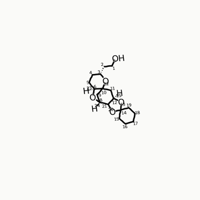 OCC[C@H]1CC[C@@H]2O[C@@H]3CC2(C[C@H]2OC4(CCCCC4)OC32)O1